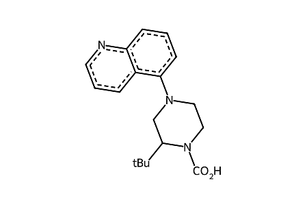 CC(C)(C)C1CN(c2cccc3ncccc23)CCN1C(=O)O